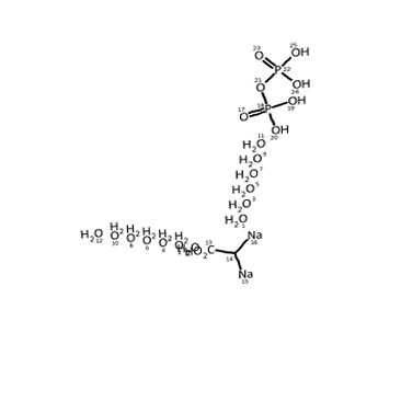 O.O.O.O.O.O.O.O.O.O.O.O.O.O=C(O)[CH]([Na])[Na].O=P(O)(O)OP(=O)(O)O